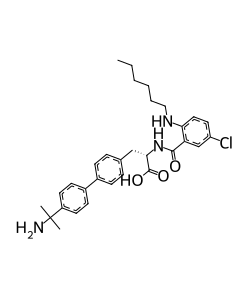 CCCCCCNc1ccc(Cl)cc1C(=O)N[C@@H](Cc1ccc(-c2ccc(C(C)(C)N)cc2)cc1)C(=O)O